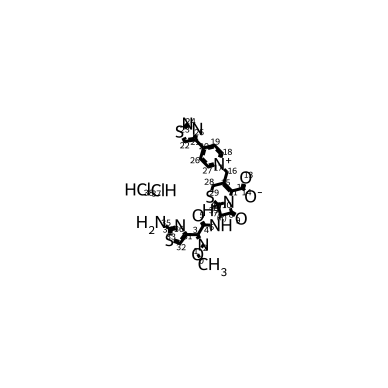 CON=C(C(=O)N[C@@H]1C(=O)N2C(C(=O)[O-])=C(C[n+]3ccc(-c4csnn4)cc3)CS[C@@H]12)c1csc(N)n1.Cl.Cl